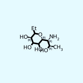 CCC1O[C@H]([C@H](N)[C@@H](C)O)C(O)C(O)[C@H]1O